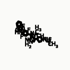 CC(C)n1nc(-c2cc(F)c(NS(=O)(=O)c3ccccc3F)cc2F)c2c(N)ncc(C3CCC(NC[C@@H](C)F)CC3)c21